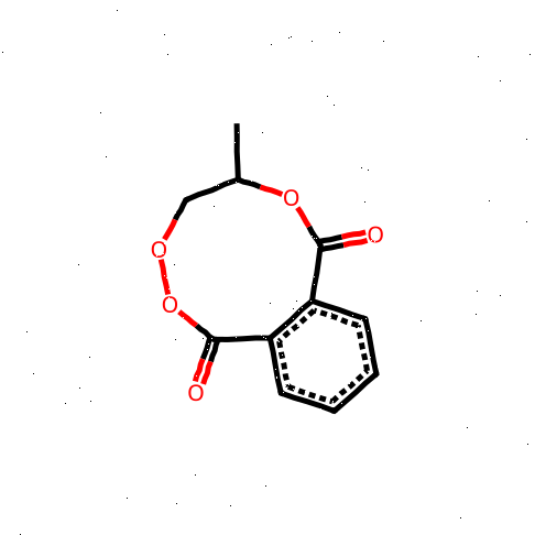 CC1COOC(=O)c2ccccc2C(=O)O1